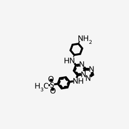 CS(=O)(=O)c1ccc(Nc2cc(N[C@H]3CC[C@H](N)CC3)nc3ncnn23)cc1